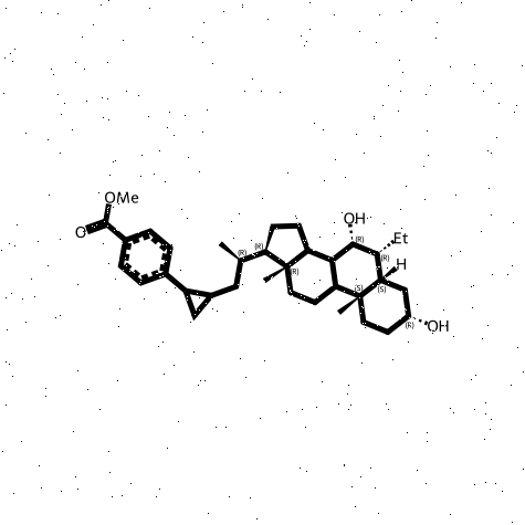 CC[C@H]1[C@@H](O)C2C3CC[C@H]([C@H](C)CC4CC4c4ccc(C(=O)OC)cc4)[C@@]3(C)CCC2[C@@]2(C)CC[C@@H](O)C[C@@H]12